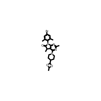 Cc1nc(N2CCC(C3OC(C)O3)CC2)c2c(n1)N(c1c(C)cc(Br)cc1C)C(=O)C2C